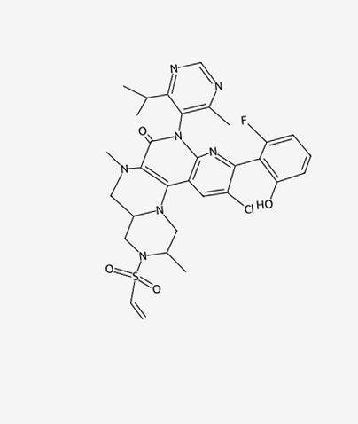 C=CS(=O)(=O)N1CC2CN(C)c3c(c4cc(Cl)c(-c5c(O)cccc5F)nc4n(-c4c(C)ncnc4C(C)C)c3=O)N2CC1C